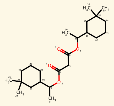 CC(OC(=O)CC(=O)OC(C)C1CCCC(C)(C)C1)C1CCCC(C)(C)C1